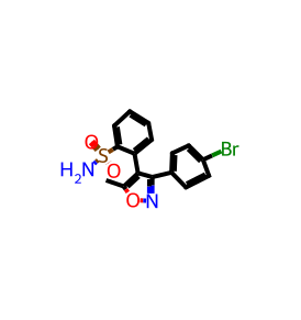 Cc1onc(-c2ccc(Br)cc2)c1-c1ccccc1S(N)(=O)=O